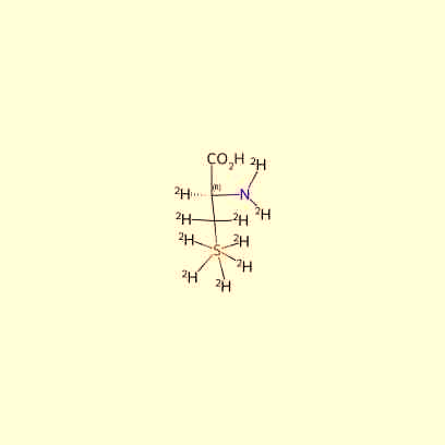 [2H]N([2H])[C@]([2H])(C(=O)O)C([2H])([2H])S([2H])([2H])([2H])([2H])[2H]